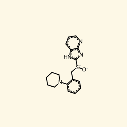 [O-][S+](Cc1ccccc1N1CCCCC1)c1nc2ncccc2[nH]1